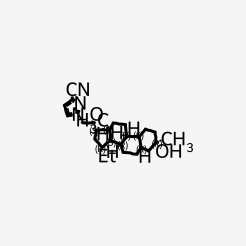 CC[C@@H]1C[C@H](C(=O)Cn2ccc(C#N)n2)[C@@]2(C)CC[C@H]3[C@@H](CC[C@@H]4C[C@](C)(O)CC[C@@H]43)[C@H]12